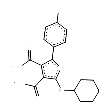 COC(=O)c1c(NC2CCCCC2)oc(-c2ccc(Cl)cc2)c1C(=O)OC